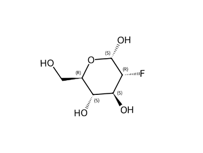 OC[C@H]1O[C@H](O)[C@H](F)[C@@H](O)[C@@H]1O